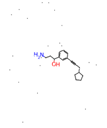 NCCC(O)c1cccc(C#CCC2CCCC2)c1